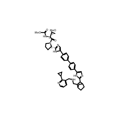 COC(=O)N[C@H](C(=O)N1CCC[C@H]1c1ncc(-c2ccc(-c3ccc(-c4cnc(C5C6CCC(C6)C5CNCc5cccnc5C5CC5)[nH]4)cc3)cc2)[nH]1)[C@@H](C)OC